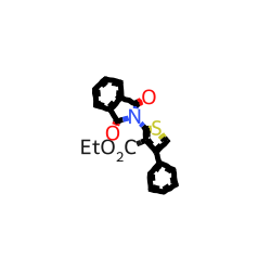 CCOC(=O)c1c(-c2ccccc2)csc1N1C(=O)c2ccccc2C1=O